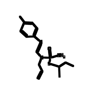 C=CCN(C=Nc1ccc(C)cc1)P(N)(=O)SC(C)CC